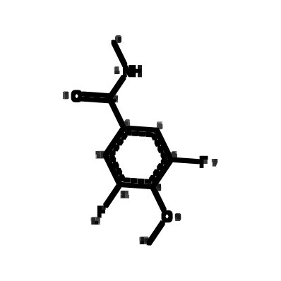 CNC(=O)c1cc(F)c(OC)c(F)c1